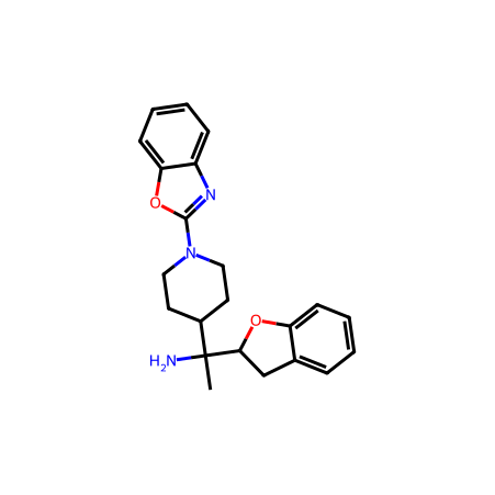 CC(N)(C1CCN(c2nc3ccccc3o2)CC1)C1Cc2ccccc2O1